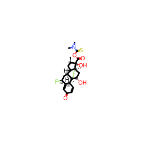 C[C@@H]1C[C@H]2[C@@H]3C[C@H](F)C4=CC(=O)C=C[C@]4(C)[C@@]3(F)[C@@H](O)C[C@]2(C)[C@@]1(O)C(=O)OC(=S)N(C)C